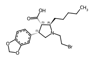 CCCCC[C@@H]1[C@@H](C(=O)O)[C@@H](c2ccc3c(c2)OCO3)CN1CCBr